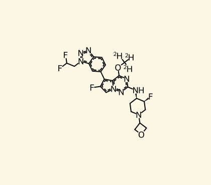 [2H]C([2H])([2H])Oc1nc(N[C@@H]2CCN(C3COC3)C[C@@H]2F)nn2cc(F)c(-c3ccc4nnn(CC(F)F)c4c3)c12